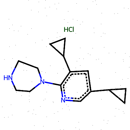 Cl.c1nc(N2CCNCC2)c(C2CC2)cc1C1CC1